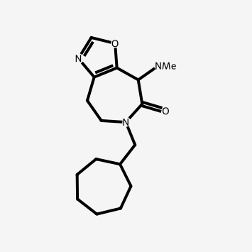 CNC1C(=O)N(CC2CCCCCC2)CCc2ncoc21